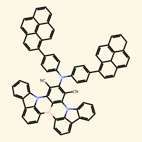 N#Cc1c(N(c2ccc(C3=C4C=CC5=C6C(=CC=C(C=C3)C46)CC=C5)cc2)c2ccc(-c3ccc4ccc5cccc6ccc3c4c56)cc2)c(C#N)c2c3c1-n1c4ccccc4c4cccc(c41)B3c1cccc3c4ccccc4n-2c13